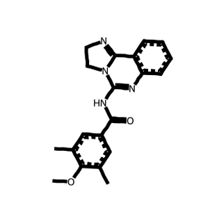 COc1c(C)cc(C(=O)NC2=Nc3ccccc3C3=NCCN23)cc1C